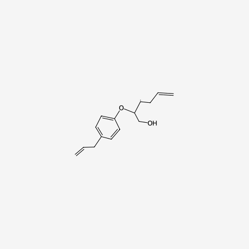 C=CC[CH]C(CO)Oc1ccc(CC=C)cc1